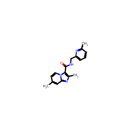 Cc1ccn2c(C(=O)NCc3cccc(C)n3)c(C)nc2c1